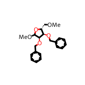 COC[C@H]1OC(OC)[C@H](OCc2ccccc2)[C@@H]1OCc1ccccc1